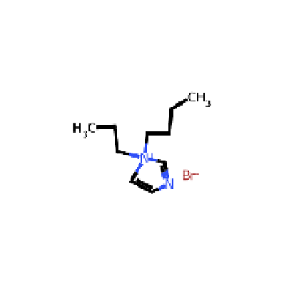 CCCC[N+]1(CCC)C=CN=C1.[Br-]